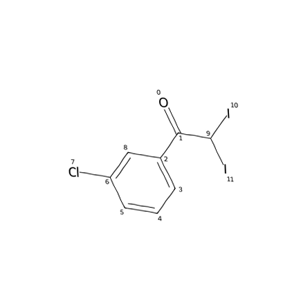 O=C(c1cccc(Cl)c1)C(I)I